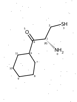 N[C@@H](CS)C(=O)C1CCCCC1